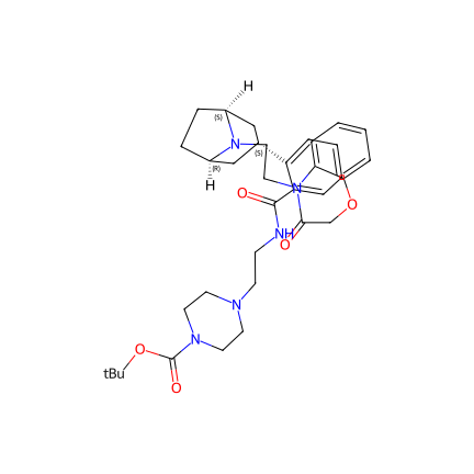 CC(C)(C)OC(=O)N1CCN(CCNC(=O)c2ccccc2[C@@H]2C[C@H]3CC[C@@H](C2)N3CCN2C(=O)COc3ccccc32)CC1